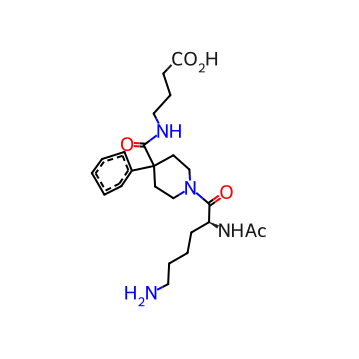 CC(=O)N[C@@H](CCCCN)C(=O)N1CCC(C(=O)NCCCC(=O)O)(c2ccccc2)CC1